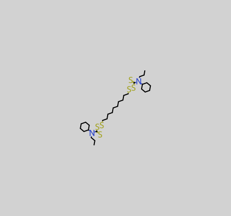 CCCN(C(=S)SSCCCCCCCCCCSSC(=S)N(CCC)C1CCCCC1)C1CCCCC1